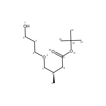 C[C@@H](COCCCO)CC(=O)OC(C)(C)C